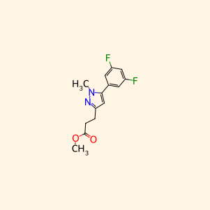 COC(=O)CCc1cc(-c2cc(F)cc(F)c2)n(C)n1